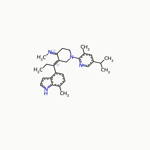 CC/C(=C1/CN(c2ncc(C(C)C)cc2C)CC/C1=N/C)c1ccc(C)c2[nH]ccc12